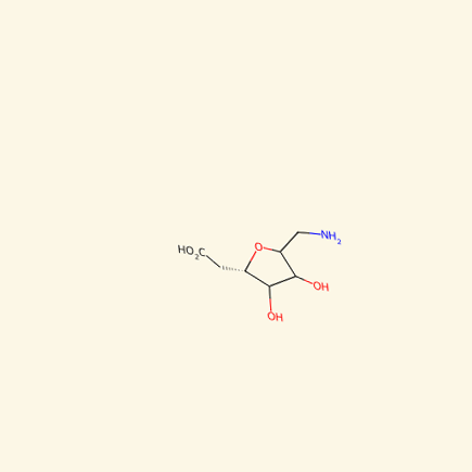 NCC1O[C@@H](CC(=O)O)C(O)C1O